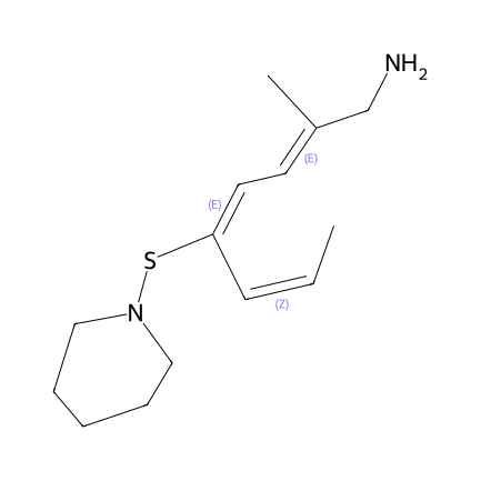 C\C=C/C(=C\C=C(/C)CN)SN1CCCCC1